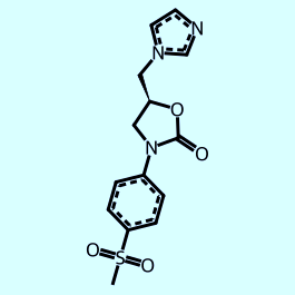 CS(=O)(=O)c1ccc(N2C[C@@H](Cn3ccnc3)OC2=O)cc1